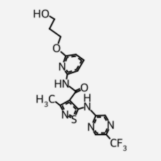 Cc1nsc(Nc2cnc(C(F)(F)F)cn2)c1C(=O)Nc1cccc(OCCCO)n1